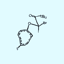 CC(C)(C)C(=O)C(C)(Br)Oc1ccc(F)cc1